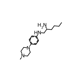 CCCC[C@H](N)CNc1ccc(N2CCN(C)CC2)cc1